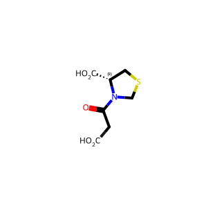 O=C(O)CC(=O)N1CSC[C@H]1C(=O)O